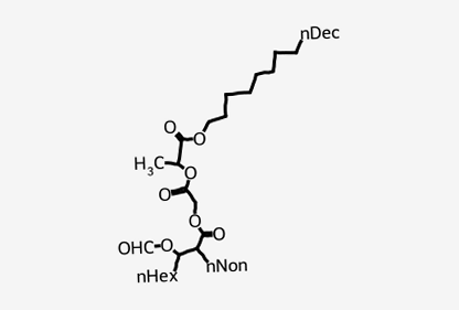 CCCCCCCCCCCCCCCCCCOC(=O)C(C)OC(=O)COC(=O)C(CCCCCCCCC)C(CCCCCC)OC=O